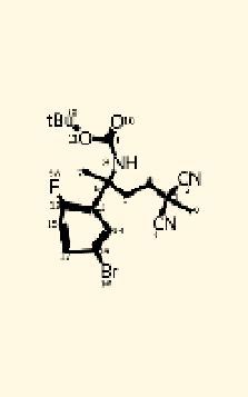 CC(C#N)(C#N)CCC(C)(NC(=O)OC(C)(C)C)c1cc(Br)ccc1F